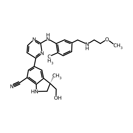 COCCNCc1ccc(C)c(Nc2nccc(-c3cc(C#N)c4c(c3)[C@@](C)(CO)CN4)n2)c1